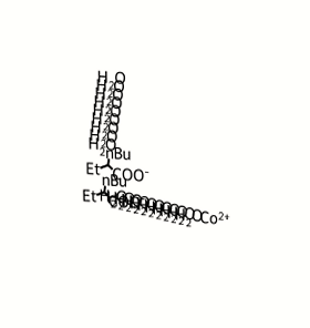 CCCCC(CC)C(=O)[O-].CCCCC(CC)C(=O)[O-].O.O.O.O.O.O.O.O.O.O.O.O.O.O.O.O.O.O.O.O.[Co+2]